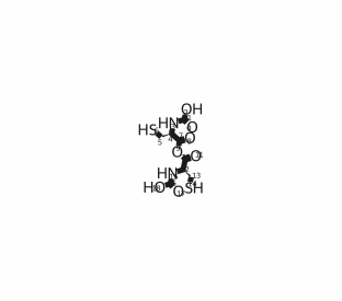 O=C(O)N[C@@H](CS)C(=O)OC(=O)[C@H](CS)NC(=O)O